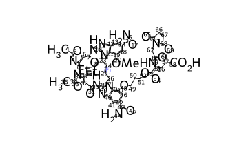 CCc1nc(C)oc1C(=O)Nc1nc2cc(C(N)=O)cc(OC)c2n1C/C=C/Cn1c(NC(=O)c2oc(C)nc2CC)nc2cc(C(N)=O)cc(OCCCOC(=O)[C@H](CCC(=O)O)NC(=O)CN3C(=O)C=CC3=O)c21